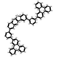 c1cc(-c2ccc3nc4oc5ccc(-c6cccc(-c7ccc8c9ccccc9c9ccccc9c8c7)c6)cc5c4nc3c2)cc(-c2ccc3c4ccccc4c4ccccc4c3c2)c1